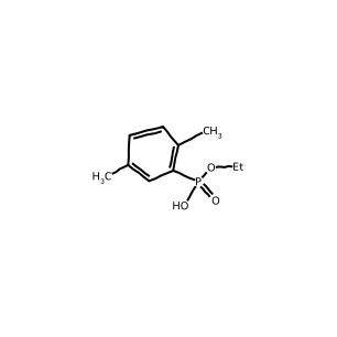 CCOP(=O)(O)c1cc(C)ccc1C